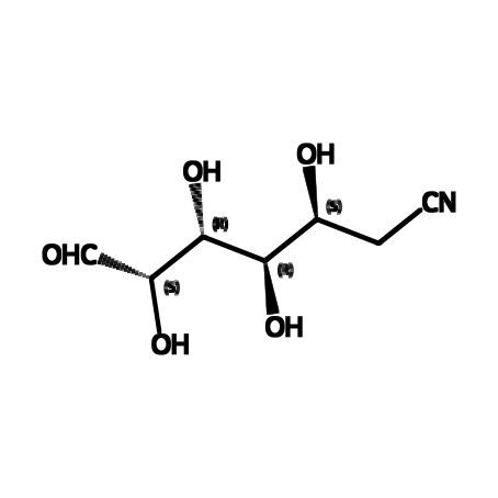 N#CC[C@H](O)[C@@H](O)[C@@H](O)[C@H](O)C=O